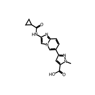 Cn1nc(-c2ccc3nc(NC(=O)C4CC4)cn3c2)cc1C(=O)O